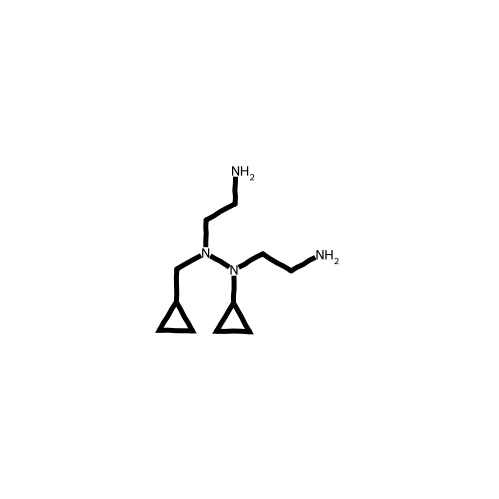 NCCN(CC1CC1)N(CCN)C1CC1